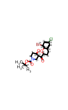 CC(C)(C)OC(=O)N1CCC(=O)C(C(=O)C2CCc3cc(Cl)cc(Br)c3O2)C1